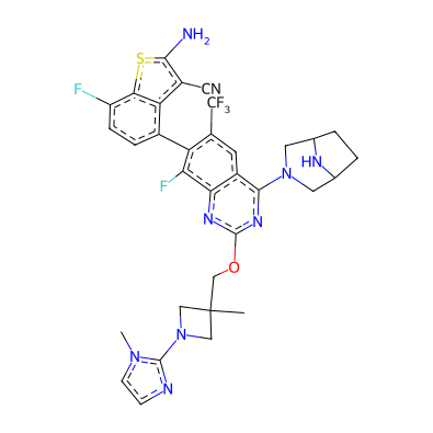 Cn1ccnc1N1CC(C)(COc2nc(N3CC4CCC(C3)N4)c3cc(C(F)(F)F)c(-c4ccc(F)c5sc(N)c(C#N)c45)c(F)c3n2)C1